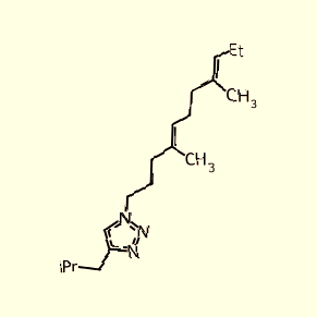 CC/C=C(\C)CC/C=C(\C)CCCn1cc(CC(C)C)nn1